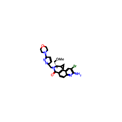 COC[C@H](C1CC1)N(Cc1ccc(N2CCOCC2)nn1)C(=O)c1ccc2nc(N)c(Br)cc2c1